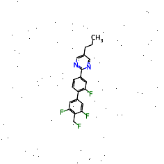 CCCc1cnc(-c2ccc(-c3cc(F)c(CF)c(F)c3)c(F)c2)nc1